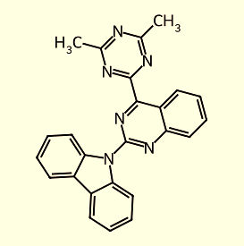 Cc1nc(C)nc(-c2nc(-n3c4ccccc4c4ccccc43)nc3ccccc23)n1